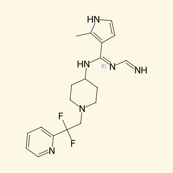 Cc1[nH]ccc1/C(=N\C=N)NC1CCN(CC(F)(F)c2ccccn2)CC1